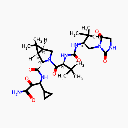 CC(C)(C)[C@H](NC(=O)N[C@H](CN1C(=O)CNC1=O)C(C)(C)C)C(=O)N1C[C@H]2[C@@H]([C@H]1C(=O)NC(C(=O)C(N)=O)C1CC1)C2(C)C